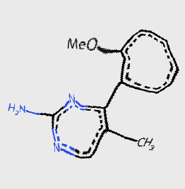 COc1ccccc1-c1nc(N)ncc1C